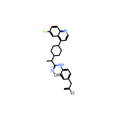 C=C(CC)Cc1ccc(N/C(=N\OC)C(C)C2CCC(c3ccnc4ccc(F)cc34)CC2)cc1